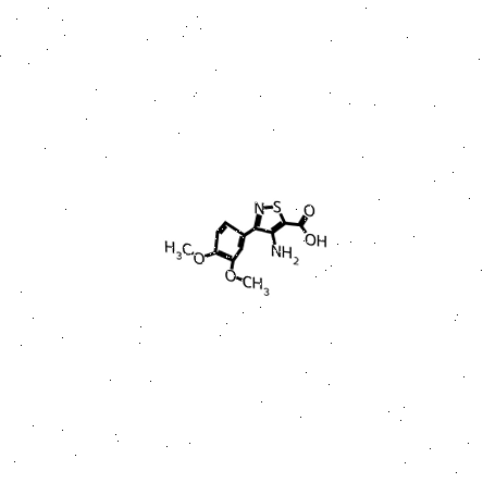 COc1ccc(-c2nsc(C(=O)O)c2N)cc1OC